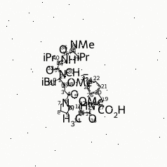 CC[C@H](C)C([C@@H](CC(=O)N1CCC[C@H]1C(OC)[C@@H](C)C(=O)NC(Cc1ccc(F)cc1)C(=O)O)OC)N(C)C(=O)[C@@H](NC(=O)[C@@H](NC)C(C)C)C(C)C